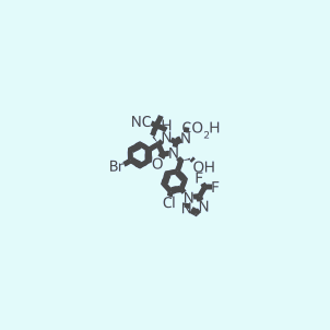 CC(C)(C#N)C[C@]1(c2ccc(Br)cc2)N/C(=N\C(=O)O)N([C@H](CO)c2ccc(Cl)c(-n3ncnc3C(F)F)c2)C1=O